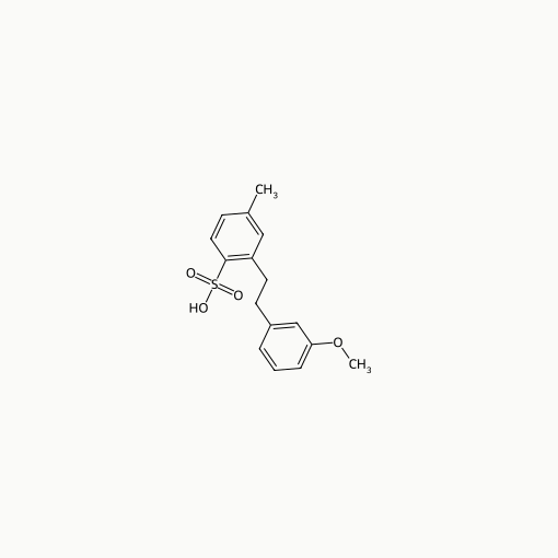 COc1cccc(CCc2cc(C)ccc2S(=O)(=O)O)c1